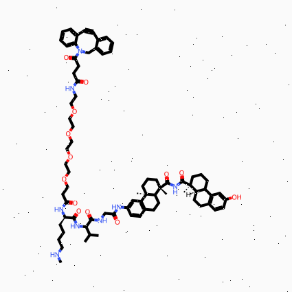 CNCCCC[C@@H](NC(=O)CCOCCOCCOCCOCCNC(=O)CCC(=O)N1Cc2ccccc2C#Cc2ccccc21)C(=O)NC(C(=O)NCC(=O)Nc1ccc2c(c1)[C@@]1(C)CCC[C@](C)(C(=O)NC(=O)[C@@]3(C)CCCC4c5cc(O)ccc5CC[C@H]43)C1CC2)C(C)C